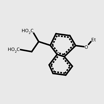 CCOc1ccc(C(CC(=O)O)C(=O)O)c2ccccc12